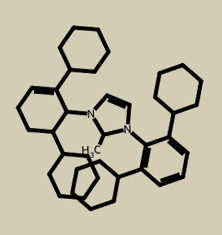 CC1N(c2c(C3CCCCC3)cccc2C2CCCCC2)C=CN1C1C(C2CCCCC2)=CCCC1C1CCCCC1